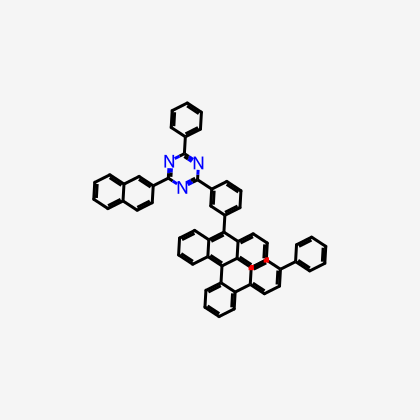 c1ccc(-c2ccc(-c3ccccc3-c3c4ccccc4c(-c4cccc(-c5nc(-c6ccccc6)nc(-c6ccc7ccccc7c6)n5)c4)c4ccccc34)cc2)cc1